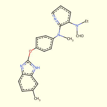 CCN(C=O)c1cccnc1N(C)c1ccc(Oc2nc3ccc(C)cc3[nH]2)cc1